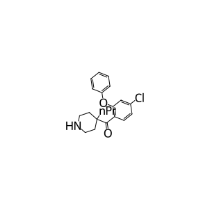 CCCC1(C(=O)c2ccc(Cl)cc2Oc2ccccc2)CCNCC1